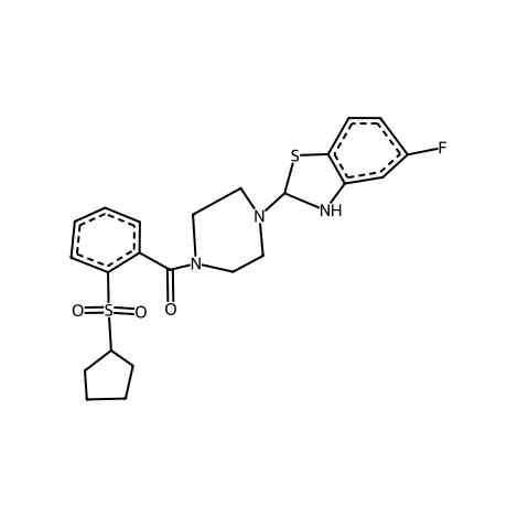 O=C(c1ccccc1S(=O)(=O)C1CCCC1)N1CCN(C2Nc3cc(F)ccc3S2)CC1